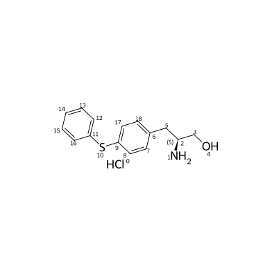 Cl.N[C@H](CO)Cc1ccc(Sc2ccccc2)cc1